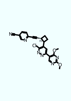 COc1ncc(-c2cc(C3CC[C@@H]3C#Cc3ccc(C#N)cn3)c(Cl)nn2)c(OC)n1